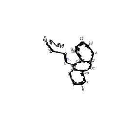 CNC/C=C/c1c2ccccc2cc2ccccc12